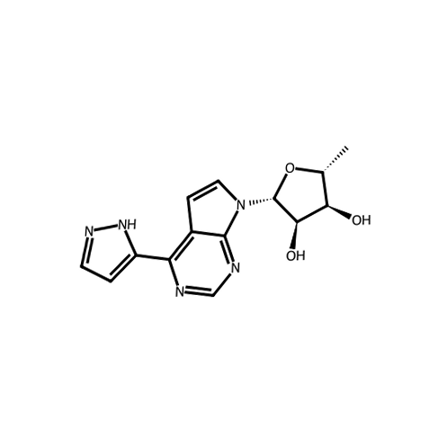 C[C@H]1O[C@@H](n2ccc3c(-c4ccn[nH]4)ncnc32)[C@H](O)[C@@H]1O